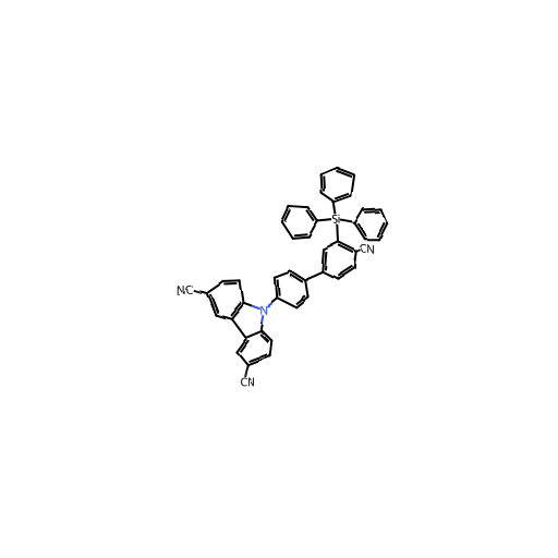 N#Cc1ccc2c(c1)c1cc(C#N)ccc1n2-c1ccc(-c2ccc(C#N)c([Si](c3ccccc3)(c3ccccc3)c3ccccc3)c2)cc1